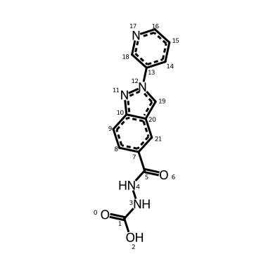 O=C(O)NNC(=O)c1ccc2nn(-c3cccnc3)cc2c1